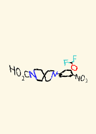 O=C(O)N1CCC2(CC1)CCN(c1ccc([N+](=O)[O-])c(OC(F)F)c1)CC2